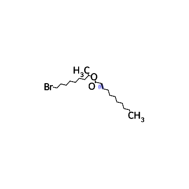 CCCCCCCC/C=C/C(=O)OC(C)CCCCCCCBr